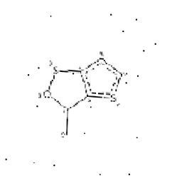 CC1OSc2ccsc21